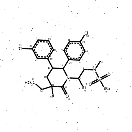 CCC(CN(C)S(=O)(=O)C(C)(C)C)N1C(=O)C(C)(CC(=O)O)CC(c2cccc(Cl)c2)C1c1ccc(Cl)cc1